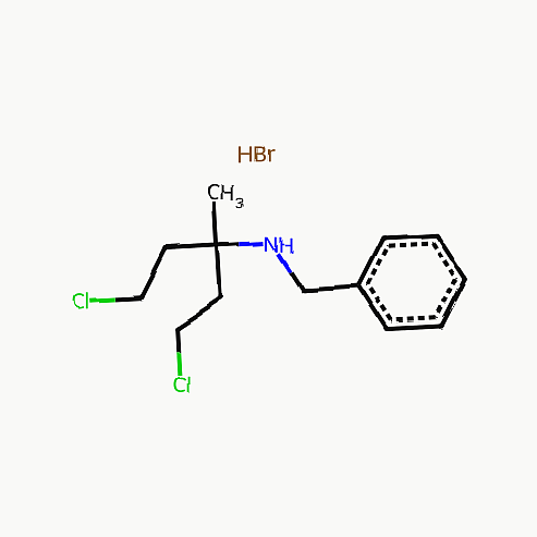 Br.CC(CCCl)(CCCl)NCc1ccccc1